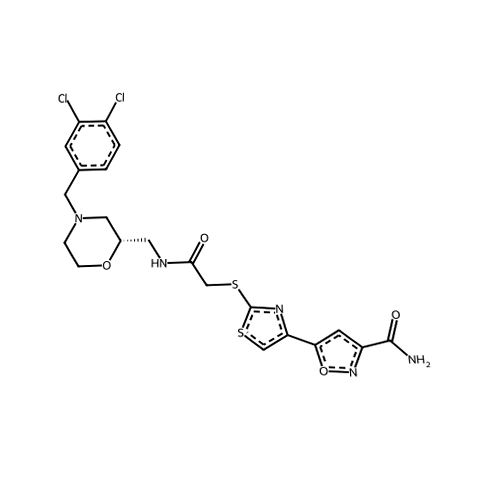 NC(=O)c1cc(-c2csc(SCC(=O)NC[C@H]3CN(Cc4ccc(Cl)c(Cl)c4)CCO3)n2)on1